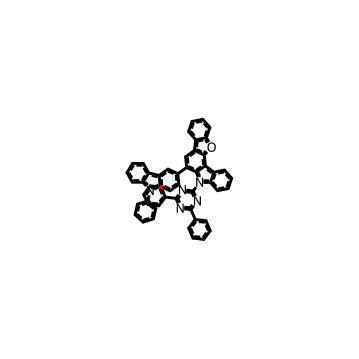 c1ccc(-c2nc(-c3ccccc3)nc(-n3c4ccccc4c4c5oc6ccccc6c5cc(-c5ccc6c(c5)c5ccccc5n6-c5ccccc5)c43)n2)cc1